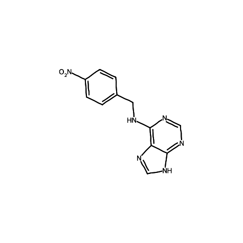 O=[N+]([O-])c1ccc(CNc2ncnc3[nH]cnc23)cc1